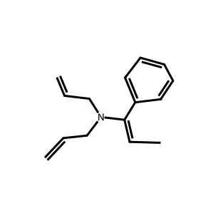 C=CCN(CC=C)/C(=C/C)c1ccccc1